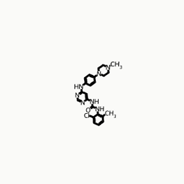 Cc1cccc(Cl)c1NC(=O)Nc1cc(Nc2ccc(N3CCN(C)CC3)cc2)ncn1